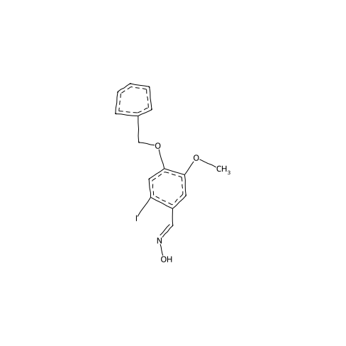 COc1cc(C=NO)c(I)cc1OCc1ccccc1